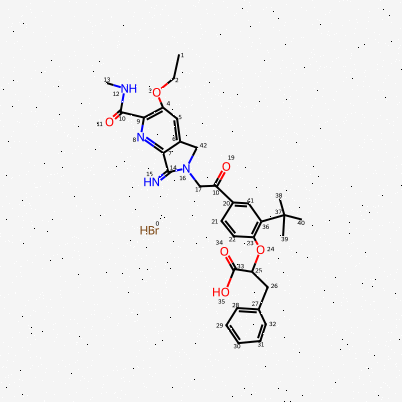 Br.CCOc1cc2c(nc1C(=O)NC)C(=N)N(CC(=O)c1ccc(OC(Cc3ccccc3)C(=O)O)c(C(C)(C)C)c1)C2